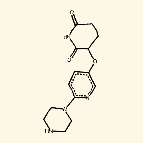 O=C1CCC(Oc2ccc(N3CCNCC3)nc2)C(=O)N1